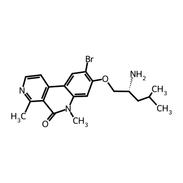 Cc1nccc2c1c(=O)n(C)c1cc(OC[C@H](N)CC(C)C)c(Br)cc21